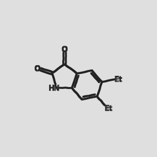 CCc1cc2c(cc1CC)C(=O)C(=O)N2